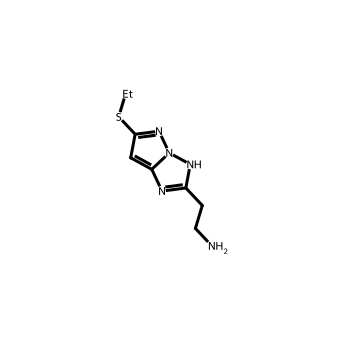 CCSc1cc2nc(CCN)[nH]n2n1